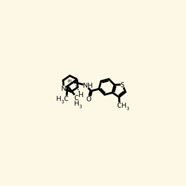 Cc1csc2ccc(C(=O)N[C@@H]3C4CCN(CC4)C3(C)C)cc12